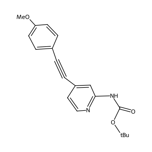 COc1ccc(C#Cc2ccnc(NC(=O)OC(C)(C)C)c2)cc1